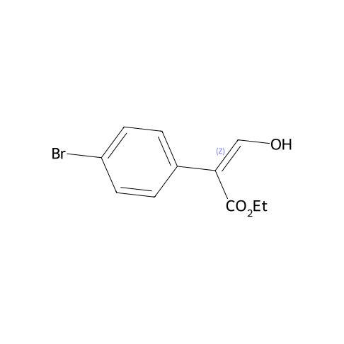 CCOC(=O)/C(=C\O)c1ccc(Br)cc1